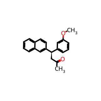 COc1cccc([C@@H](CC(C)=O)c2ccc3ccccc3c2)c1